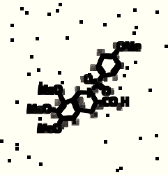 COc1ccc(S(=O)(=O)N2Cc3c(cc(OC)c(OC)c3OC)CC2C(=O)O)cc1